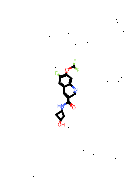 O=C(NC1CC(O)C1)c1cnc2cc(OC(F)F)c(F)cc2c1